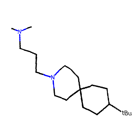 CN(C)CCCN1CCC2(CCC(C(C)(C)C)CC2)CC1